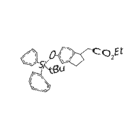 CCOC(=O)CC1CCc2cc(O[Si](c3ccccc3)(c3ccccc3)C(C)(C)C)ccc21